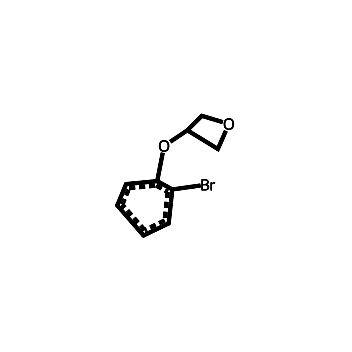 Brc1ccccc1OC1COC1